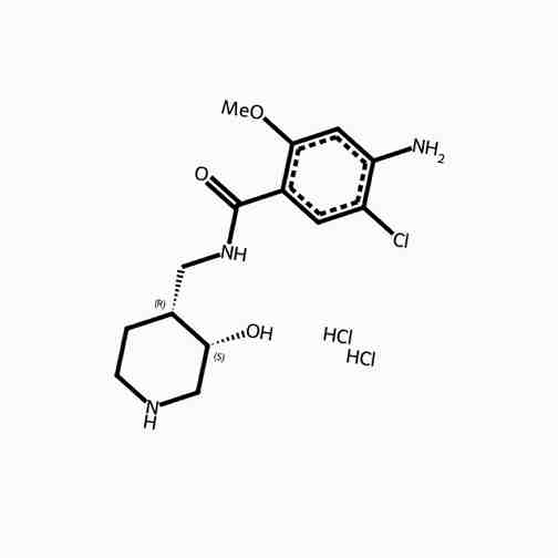 COc1cc(N)c(Cl)cc1C(=O)NC[C@H]1CCNC[C@H]1O.Cl.Cl